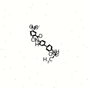 CCS(=O)(=O)Nc1ccc(-c2ccc(NC(=O)c3cc([N+](=O)[O-])ccc3Cl)cc2)cc1